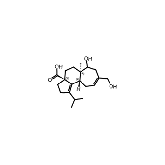 CC(C)C1=C2[C@H]3CC=C(CO)CC(O)[C@]3(C)CC[C@@]2(C(=O)O)CC1